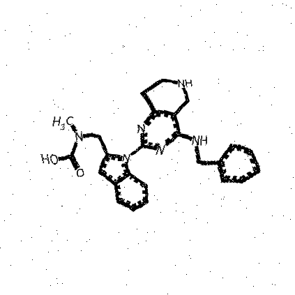 CN(Cc1cc2ccccc2n1-c1nc2c(c(NCc3ccccc3)n1)CNCC2)C(=O)O